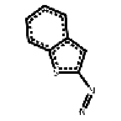 [N]=Nc1cc2ccccc2s1